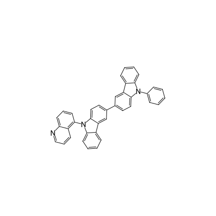 c1ccc(-n2c3ccccc3c3cc(-c4ccc5c(c4)c4ccccc4n5-c4cccc5ncccc45)ccc32)cc1